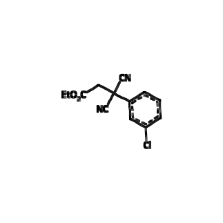 CCOC(=O)CC(C#N)(C#N)c1cccc(Cl)c1